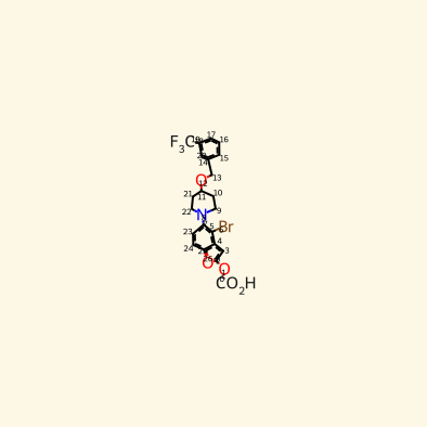 O=C(O)Oc1cc2c(Br)c(N3CCC(OCc4cccc(C(F)(F)F)c4)CC3)ccc2o1